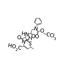 CC1C=C(C(=O)O)N2C(=O)C(NC(=O)CN(C(=O)OCC(Cl)(Cl)Cl)c3ccccc3)[C@@H]2S1